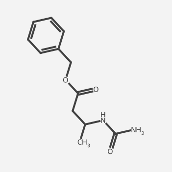 CC(CC(=O)OCc1ccccc1)NC(N)=O